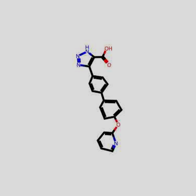 O=C(O)c1[nH]nnc1-c1ccc(-c2ccc(Oc3ccccn3)cc2)cc1